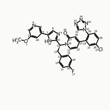 COc1cncc(-c2cnc([C@H](Cc3ccc(F)cc3)n3ccc(-c4cc(Cl)ccc4-n4cnnn4)cc3=O)[nH]2)c1